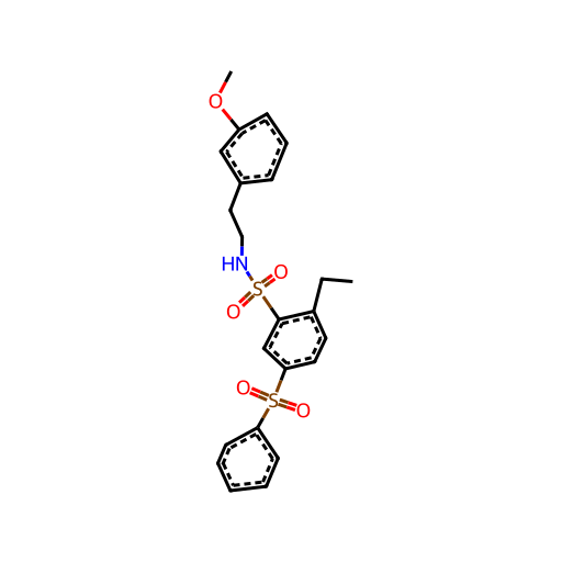 CCc1ccc(S(=O)(=O)c2ccccc2)cc1S(=O)(=O)NCCc1cccc(OC)c1